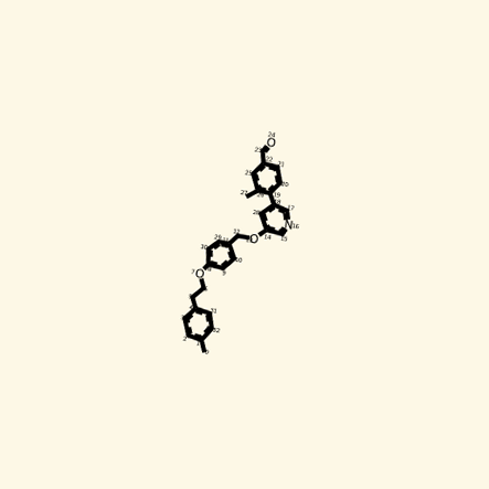 Cc1ccc(CCOc2ccc(COc3cncc(-c4ccc(C=O)cc4C)c3)cc2)cc1